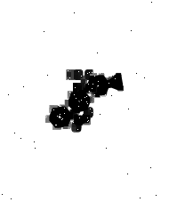 O=C(O)c1cc(C2CC2)cnc1Nc1ccc2c(c1)OCC(=O)N2C1=CCCC=C1